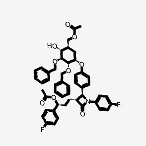 CC(=O)OC[C@H]1C[C@@H](Oc2ccc([C@@H]3[C@@H](CC[C@H](OC(C)=O)c4ccc(F)cc4)C(=O)N3c3ccc(F)cc3)cc2)[C@H](OCc2ccccc2)[C@@H](OCc2ccccc2)[C@@H]1O